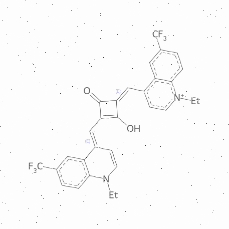 CCN1C=C/C(=C\C2=C(O)C(=C\c3cc[n+](CC)c4ccc(C(F)(F)F)cc34)/C2=O)c2cc(C(F)(F)F)ccc21